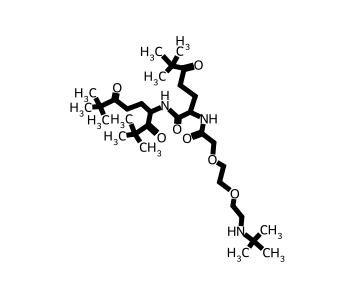 CC(C)(C)NCCOCCOCC(=O)NC(CCC(=O)C(C)(C)C)C(=O)NC(CCC(=O)C(C)(C)C)C(=O)C(C)(C)C